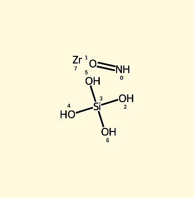 N=O.O[Si](O)(O)O.[Zr]